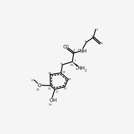 C=C(C)CNC(=O)[C@@H](N)Cc1ccc(O)c(OC)c1